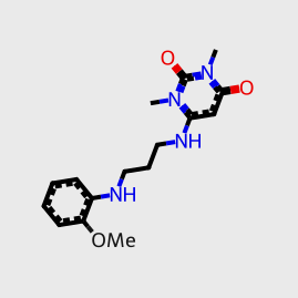 COc1ccccc1NCCCNc1cc(=O)n(C)c(=O)n1C